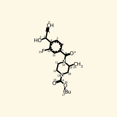 C#CC(O)c1ccc(C(=O)N2CCN(C(=O)OC(C)(C)C)CC2C)cc1F